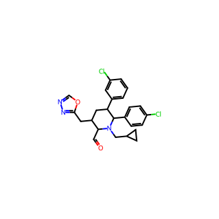 O=CC1C(Cc2nnco2)CC(c2cccc(Cl)c2)C(c2ccc(Cl)cc2)N1CC1CC1